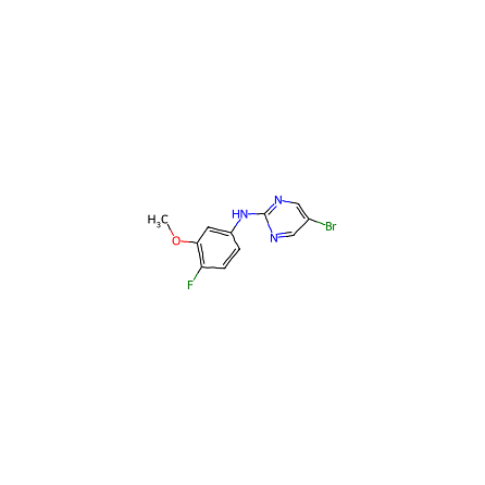 COc1cc(Nc2ncc(Br)cn2)ccc1F